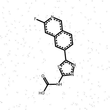 O=C(O)Nc1nnc(-c2ccc3cnc(F)cc3c2)s1